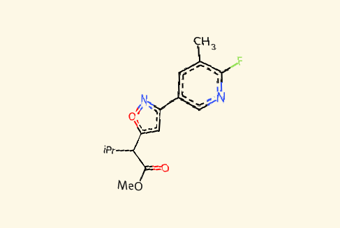 COC(=O)C(c1cc(-c2cnc(F)c(C)c2)no1)C(C)C